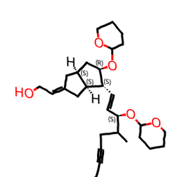 CCC#CCC(C)[C@@H](C=C[C@@H]1[C@H]2CC(=CCO)C[C@H]2C[C@H]1OC1CCCCO1)OC1CCCCO1